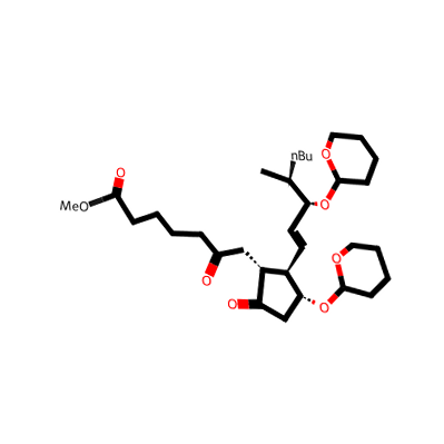 CCCC[C@H](C)[C@@H](/C=C/[C@H]1[C@H](OC2CCCCO2)CC(=O)[C@@H]1CC(=O)CCCCC(=O)OC)OC1CCCCO1